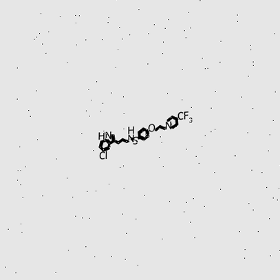 FC(F)(F)C1CCN(CCCOc2ccc(SNCCCc3c[nH]c4ccc(Cl)cc34)cc2)CC1